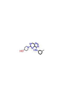 Cc1cccc(Nc2ncnc3cnc(N4CCC(O)CC4)nc23)c1